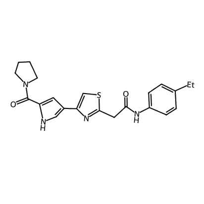 CCc1ccc(NC(=O)Cc2nc(-c3c[nH]c(C(=O)N4CCCC4)c3)cs2)cc1